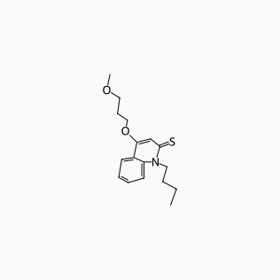 CCCCn1c(=S)cc(OCCCOC)c2ccccc21